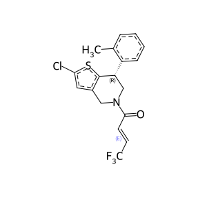 Cc1ccccc1[C@@H]1CN(C(=O)/C=C/C(F)(F)F)Cc2cc(Cl)sc21